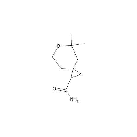 CC1(C)CC2(CCO1)CC2C(N)=O